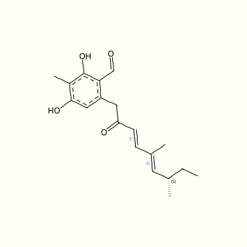 CC[C@H](C)/C=C(C)/C=C/C(=O)Cc1cc(O)c(C)c(O)c1C=O